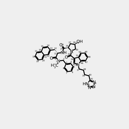 CN(Cc1ccccc1)C(=O)[C@H](Cc1ccc2ccccc2c1)NC(=O)[C@H]1C[C@@H](O)CN1C(=O)c1cn(CCCCc2nnn[nH]2)c2ccccc12